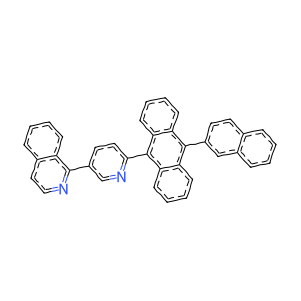 c1ccc2cc(-c3c4ccccc4c(-c4ccc(-c5nccc6ccccc56)cn4)c4ccccc34)ccc2c1